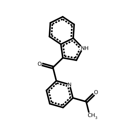 CC(=O)c1cccc(C(=O)c2c[nH]c3ccccc23)n1